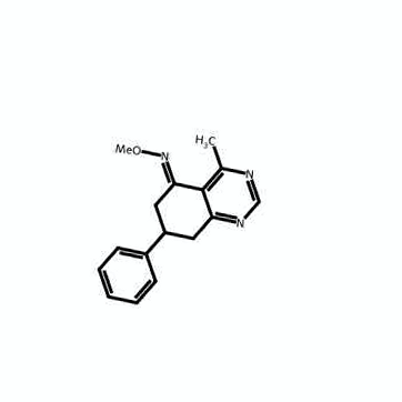 CON=C1CC(c2ccccc2)Cc2ncnc(C)c21